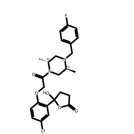 C[C@@H]1CN(Cc2ccc(F)cc2)[C@@H](C)CN1C(=O)COc1ccc(Cl)cc1C1(O)CCC(=O)O1